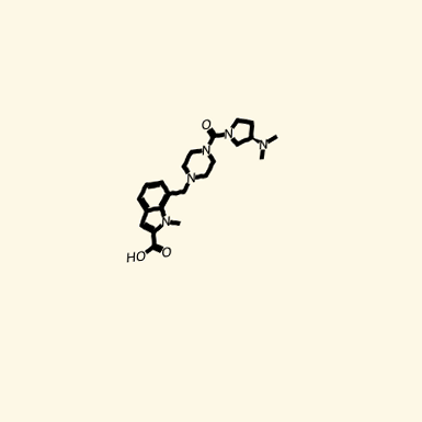 CN(C)[C@@H]1CCN(C(=O)N2CCN(Cc3cccc4cc(C(=O)O)n(C)c34)CC2)C1